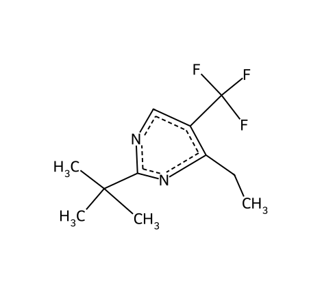 CCc1nc(C(C)(C)C)ncc1C(F)(F)F